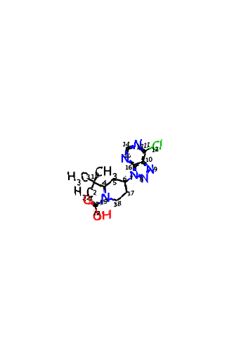 CC(C)(C)C1CC(n2nnc3c(Cl)ncnc32)CCN1C(=O)O